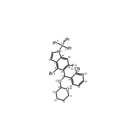 CC(C)[Si](C(C)C)(C(C)C)n1ccc2c(Br)c(C(OC3CCCCO3)c3cccnc3C#N)c(F)cc21